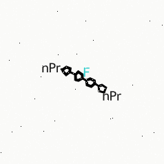 CCCc1ccc(-c2ccc(-c3ccc(C4=CCC(CCC)C4)cc3)c(F)c2)cc1